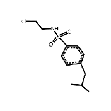 CC(C)Cc1ccc(S(=O)(=O)NCCCl)cc1